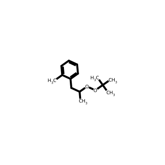 Cc1ccccc1CC(C)OOC(C)(C)C